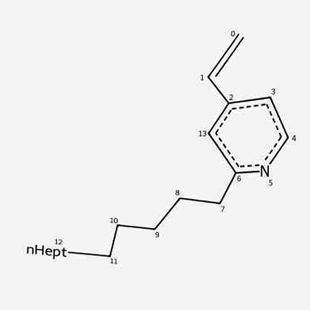 C=Cc1ccnc(CCCCCCCCCCCC)c1